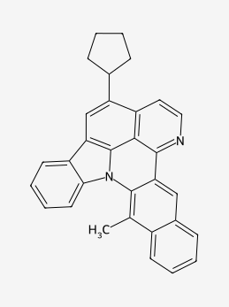 Cc1c2ccccc2cc2c3nccc4c(C5CCCC5)cc5c6ccccc6n(c12)c5c43